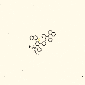 CC1(C)c2ccccc2-c2c1cc1c(sc3ccc4ccccc4c31)c2-c1cccc(-c2c3ccccc3c(-c3cccc4ccccc34)c3ccccc23)c1